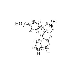 CCN1CC[C@@H](Cc2c(C)cc(C)c3[nH]ccc23)[C@H](c2ccc(C(=O)O)cc2)C1